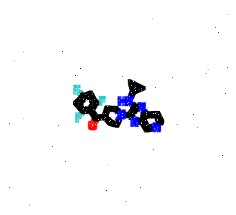 O=C(c1c(F)cc(F)cc1F)C1CCN(c2nc3cnccc3nc2NC2CC2)CC1